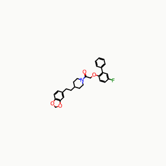 O=C(COc1ccc(F)cc1-c1ccccc1)N1CCC(CCc2ccc3c(c2)OCO3)CC1